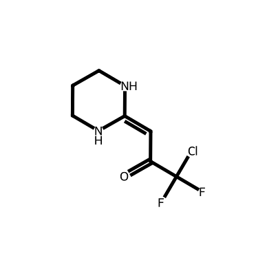 O=C(C=C1NCCCN1)C(F)(F)Cl